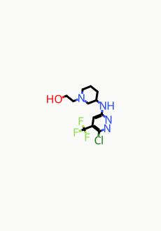 OCCN1CCCC(Nc2cc(C(F)(F)F)c(Cl)nn2)C1